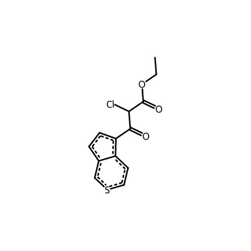 CCOC(=O)C(Cl)C(=O)c1ccc2csccc1-2